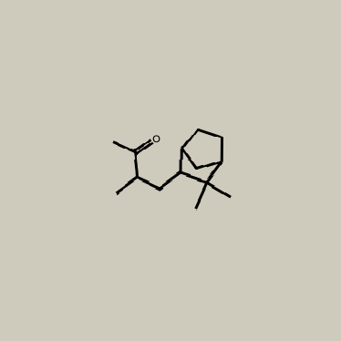 CC(=O)C(C)CC1C2CCC(C2)C1(C)C